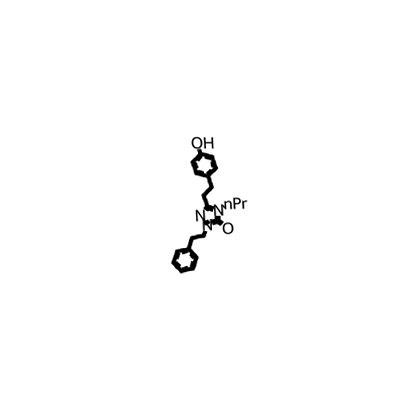 CCCn1c(CCc2ccc(O)cc2)nn(CCc2ccccc2)c1=O